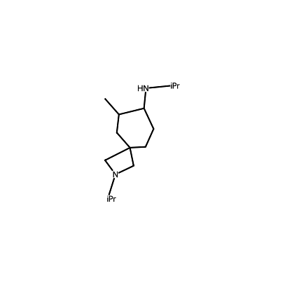 CC(C)NC1CCC2(CC1C)CN(C(C)C)C2